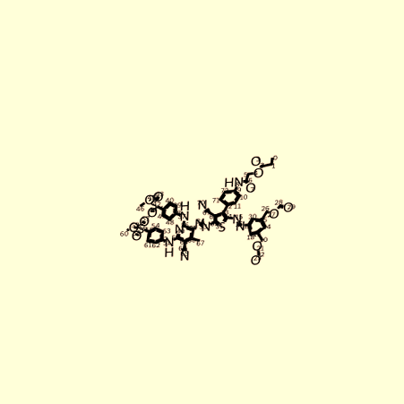 CCC(=O)OCC(=O)Nc1ccc(-c2c(N=Nc3cc(COC=O)cc(COC=O)c3)sc(N=Nc3c(Nc4ccc(S(=O)(=O)OC)cc4)nc(Nc4ccc(S(=O)(=O)OC)cc4)c(C#N)c3C)c2C#N)cc1